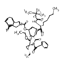 C=C[C@@H]1C[C@@]1(C(=O)OCC)N(C(=O)c1ccccc1)C(=O)[C@@H]1C[C@@H](OC(=O)N2Cc3cccc(F)c3C2)CN1C(=O)[C@H](CCCCCC)NC(=O)OC(C)(C)C